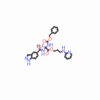 CC(NC(=O)OCc1ccccc1)(NC(=O)c1ccc2[nH]ncc2c1)C(=O)OCCCNc1ccccn1